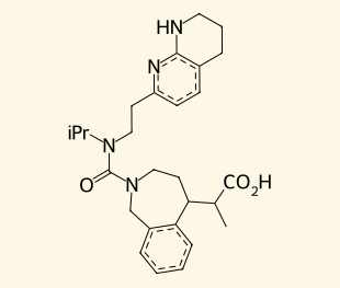 CC(C(=O)O)C1CCN(C(=O)N(CCc2ccc3c(n2)NCCC3)C(C)C)Cc2ccccc21